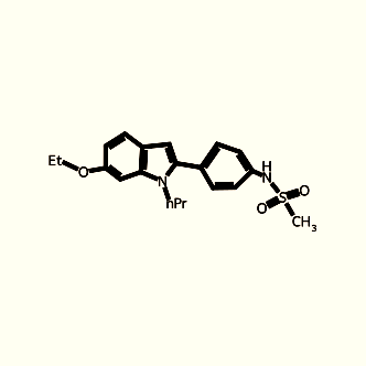 CCCn1c(-c2ccc(NS(C)(=O)=O)cc2)cc2ccc(OCC)cc21